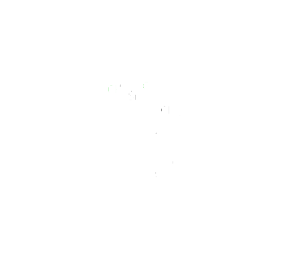 CC(C[Si](Cl)Cl)c1ccccc1